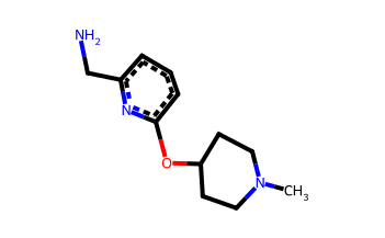 CN1CCC(Oc2cccc(CN)n2)CC1